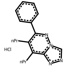 CCCc1c(-c2ccccc2)nn2cnnc2c1CCC.Cl